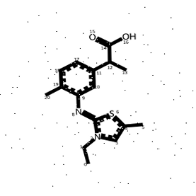 CCn1cc(C)sc1=Nc1cc(C(C)C(=O)O)ccc1C